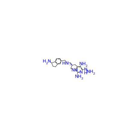 N=C/C(=C\NCc1ccc2c(c1)CCC2N)Cc1cc(N)nc(NN)c1N